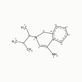 CC(C)C(C)N1C=C(N)c2ccccc2C1